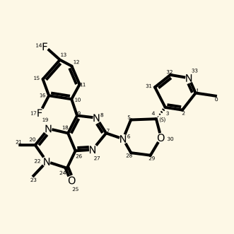 Cc1cc([C@H]2CN(c3nc(-c4ccc(F)cc4F)c4nc(C)n(C)c(=O)c4n3)CCO2)ccn1